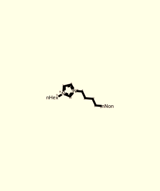 CCCCCCCCCCCCC[n+]1ccn(CCCCCC)c1